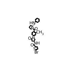 Cc1cc(N2CC(NC(=O)c3ccc(Br)s3)CC2=O)ccc1C(=O)N1CCC[C@@H]1CNc1ccccc1